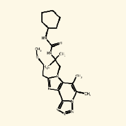 COCCc1nc2c(c(C)c(C)n3nnnc23)n1CC(C)(C)NC(=O)NC1CCCCC1